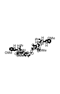 COc1cccc2[nH]c(C(=O)N[C@@H](CC(C)C)C(=O)N[C@@H](C[C@@H]3CCN([C@@H](C)COC(=O)OC[C@H](C)N4CC[C@@H](C[C@H](NC(=O)[C@H](CC(C)C)NC(=O)c5cc6c(OC)cccc6[nH]5)C(=O)COP(=O)(OC)OC)C4=O)C3=O)C(=O)COP(=O)(OC)OC)cc12